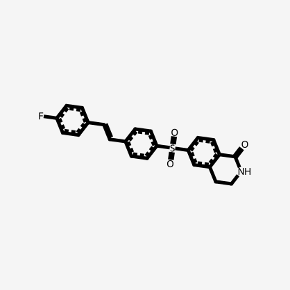 O=C1NCCc2cc(S(=O)(=O)c3ccc(/C=C/c4ccc(F)cc4)cc3)ccc21